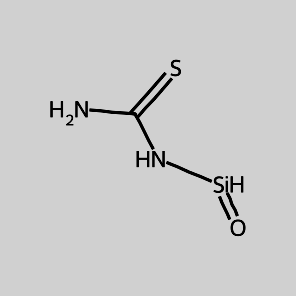 NC(=S)N[SiH]=O